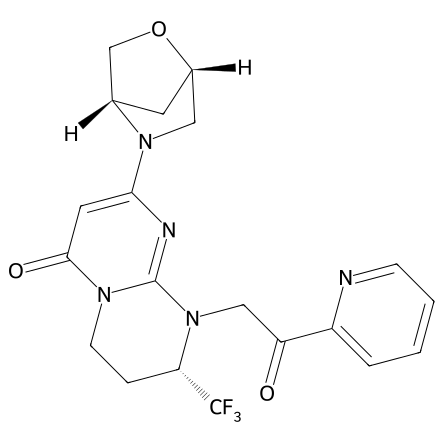 O=C(CN1c2nc(N3C[C@@H]4C[C@H]3CO4)cc(=O)n2CC[C@H]1C(F)(F)F)c1ccccn1